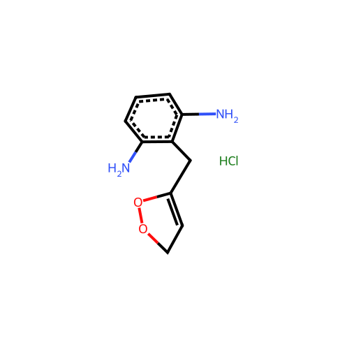 Cl.Nc1cccc(N)c1CC1=CCOO1